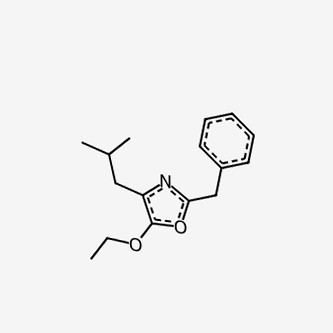 CCOc1oc(Cc2ccccc2)nc1CC(C)C